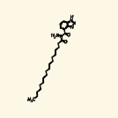 CCCCCCCCCCCCCCCCCC(=O)N(N)C(=O)c1cccc2[nH]nnc12